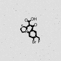 O=C(O)c1c2n(c3cc(Br)c(CF)cc3c1=O)CCS2